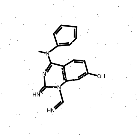 CN(c1ccccc1)c1nc(=N)n(C=N)c2cc(O)ccc12